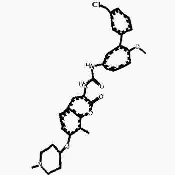 COc1ccc(NC(=O)Nc2cc3ccc(OC4CCN(C)CC4)c(C)c3oc2=O)cc1-c1cccc(Cl)c1